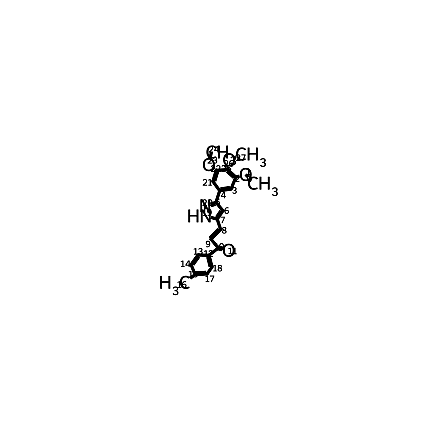 COc1cc(-c2cc(/C=C/C(=O)c3ccc(C)cc3)[nH]n2)cc(OC)c1OC